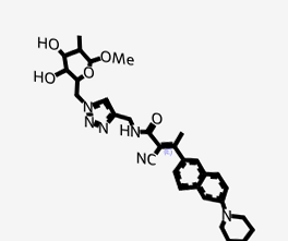 COC1OC(Cn2cc(CNC(=O)/C(C#N)=C(\C)c3ccc4cc(N5CCCCC5)ccc4c3)nn2)C(O)C(O)C1C